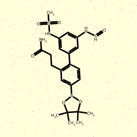 CC1(C)OB(c2ccc(-c3cc(N[SH]=O)cc(NS(C)(=O)=O)c3)c(CCC(N)=O)c2)OC1(C)C